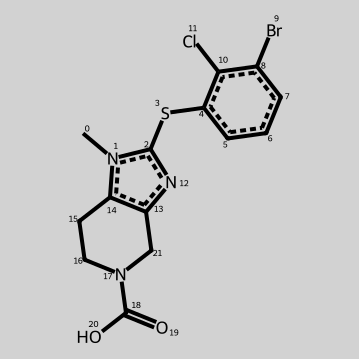 Cn1c(Sc2cccc(Br)c2Cl)nc2c1CCN(C(=O)O)C2